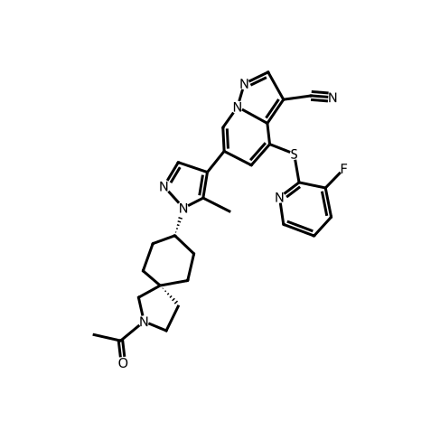 CC(=O)N1CC[C@]2(CC[C@@H](n3ncc(-c4cc(Sc5ncccc5F)c5c(C#N)cnn5c4)c3C)CC2)C1